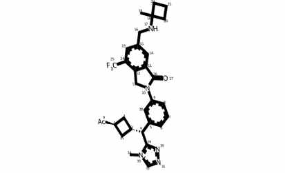 CC(=O)[C@H]1C[C@H](C(c2cccc(N3Cc4c(cc(CNC5(C)CCC5)cc4C(F)(F)F)C3=O)c2)c2nncn2C)C1